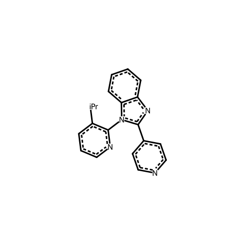 CC(C)c1cccnc1-n1c(-c2ccncc2)nc2ccccc21